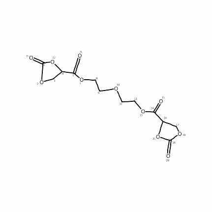 O=C1OCC(C(=O)OCCOCCOC(=O)C2COC(=O)O2)O1